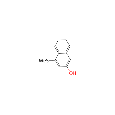 CSc1cc(O)cc2ccccc12